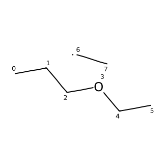 CCCOCC.[CH2]C